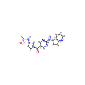 CC(O)N(C)C1CCN(C(=O)c2cnc(NC3CCc4ncccc43)nc2)C1